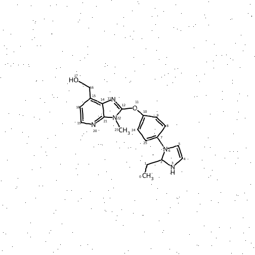 CCC1NC=CN1c1ccc(Oc2nc3c(CO)ccnc3n2C)cc1